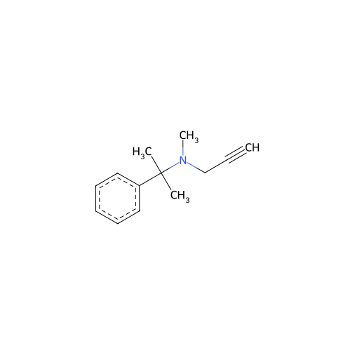 C#CCN(C)C(C)(C)c1ccccc1